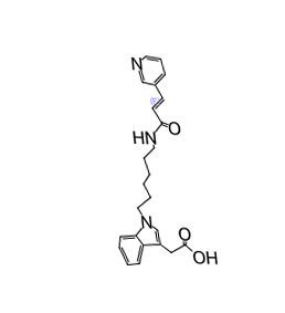 O=C(O)Cc1cn(CCCCCCNC(=O)/C=C/c2cccnc2)c2ccccc12